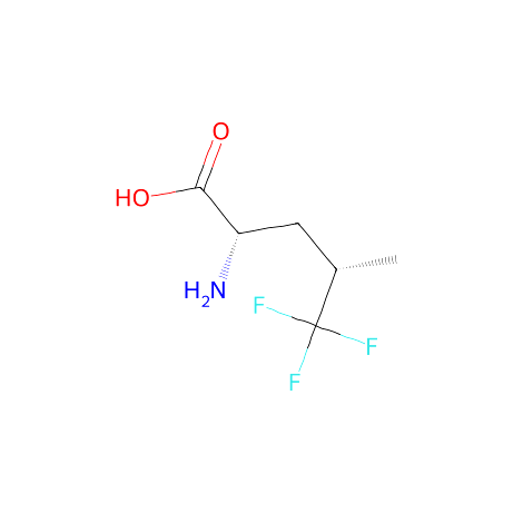 C[C@@H](C[C@H](N)C(=O)O)C(F)(F)F